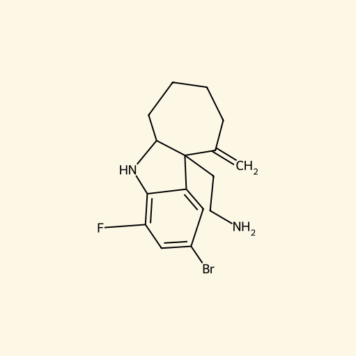 C=C1CCCCC2Nc3c(F)cc(Br)cc3C12CCN